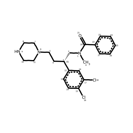 CN(C[C@@H](CCN1CCNCC1)c1ccc(Cl)c(Cl)c1)C(=O)c1ccccc1